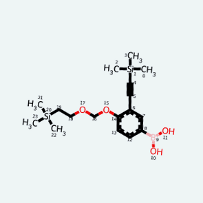 C[Si](C)(C)C#Cc1cc(B(O)O)ccc1OCOCC[Si](C)(C)C